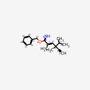 C#CC(C)(/C=C(\C)C(=N)OCc1ccccc1)C(C)C